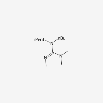 CCCCN(C(=NC)N(C)C)C(C)CCC